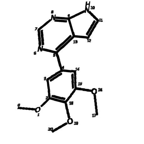 COc1cc(-c2ncnc3[nH]ccc23)cc(OC)c1OC